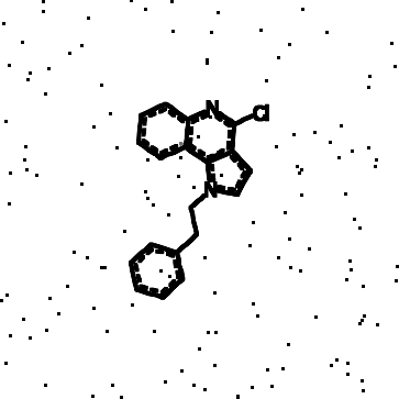 Clc1nc2ccccc2c2c1ccn2CCc1ccccc1